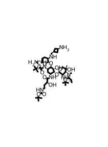 CCC(OC(C)(C)C)N(C)[C@@H]1[C@@H](N)[C@@H](O[C@@H]2[C@@H](O)[C@H](O[C@H]3OC(CN)=CC[C@H]3NC[C@H]3C[C@H](N)C3)[C@@H](NC(=O)OC(C)(C)C)C[C@H]2NC(=O)[C@@H](O)CCNC(=O)OC(C)(C)C)OC[C@]1(C)O